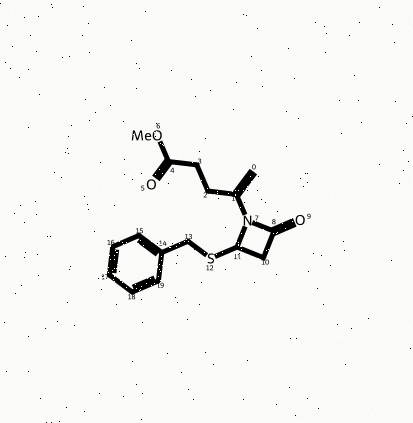 C=C(CCC(=O)OC)N1C(=O)CC1SCc1ccccc1